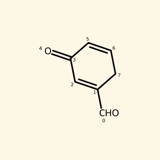 O=CC1=CC(=O)C=CC1